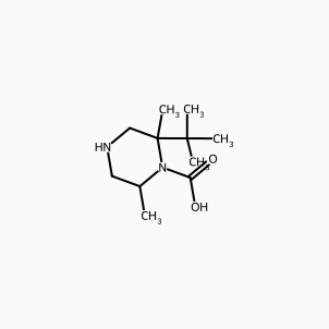 CC1CNCC(C)(C(C)(C)C)N1C(=O)O